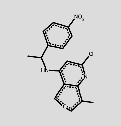 Cc1cccc2c(NC(C)c3ccc([N+](=O)[O-])cc3)cc(Cl)nc12